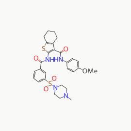 COc1ccc(NC(=O)c2c(NC(=O)c3cccc(S(=O)(=O)N4CCN(C)CC4)c3)sc3c2CCCC3)cc1